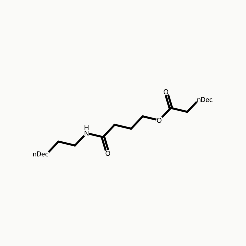 CCCCCCCCCCCCNC(=O)CCCOC(=O)CCCCCCCCCCC